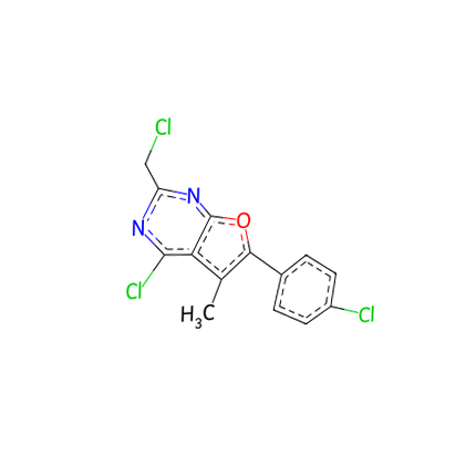 Cc1c(-c2ccc(Cl)cc2)oc2nc(CCl)nc(Cl)c12